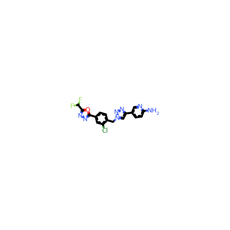 Nc1ccc(-c2cn(Cc3ccc(-c4nnc(C(F)F)o4)cc3Cl)nn2)cn1